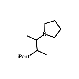 CCCC(C)C(C)C(C)N1CCCC1